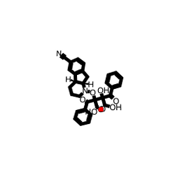 N#Cc1ccc2c(c1)[C@H]1CCCN(OC(C(=O)O)(C(=O)c3ccccc3)C(O)(C(=O)O)C(=O)c3ccccc3)[C@H]1C2